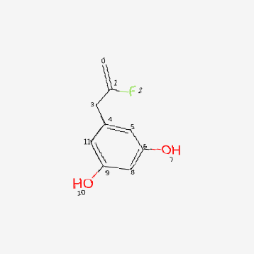 C=C(F)Cc1cc(O)cc(O)c1